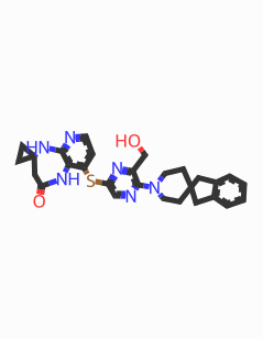 O=C1CC2(CC2)Nc2nccc(Sc3cnc(N4CCC5(CC4)Cc4ccccc4C5)c(CO)n3)c2N1